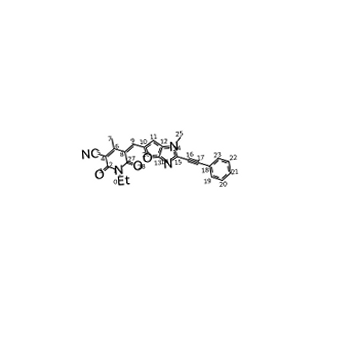 CCN1C(=O)C(C#N)=C(C)/C(=C/c2cc3c(nc(C#Cc4ccccc4)n3C)o2)C1=O